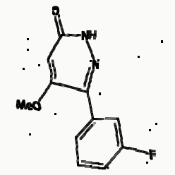 COc1cc(=O)[nH]nc1-c1cc[c]c(F)c1